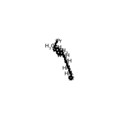 CC(C)CCC[C@@H](C)[C@H]1CCC2C3CC[C@H]4C[C@H](NCCCNCCCCNCCCNCc5ccccc5)CC[C@]4(C)C3CC[C@@]21C